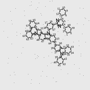 c1ccc(-c2cc(-c3ccccc3)nc(-c3cccc(-n4c5ccc(-c6ccc7c(c6)c6ccccc6n7-c6ccccc6)cc5c5ccc6c(cc7c8ccccc8c8ccccc8n76)c54)c3)n2)cc1